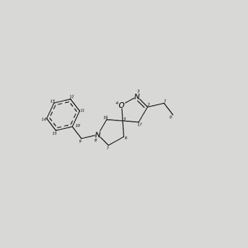 CCC1=NOC2(CCN(Cc3ccccc3)C2)C1